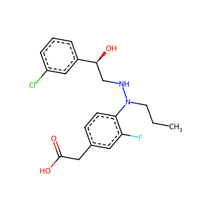 CCCN(NC[C@H](O)c1cccc(Cl)c1)c1ccc(CC(=O)O)cc1F